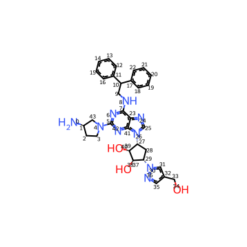 N[C@@H]1CCN(c2nc(NCC(c3ccccc3)c3ccccc3)c3ncn([C@@H]4C[C@H](n5cc(CO)cn5)[C@@H](O)[C@H]4O)c3n2)C1